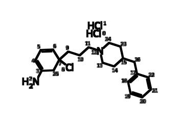 Cl.Cl.NC1=CC=CC(Cl)(CCCN2CCC(Cc3ccccc3)CC2)C1